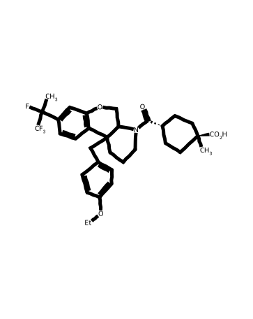 CCOc1ccc(CC23CCCN(C(=O)[C@H]4CC[C@](C)(C(=O)O)CC4)C2COc2cc(C(C)(F)C(F)(F)F)ccc23)cc1